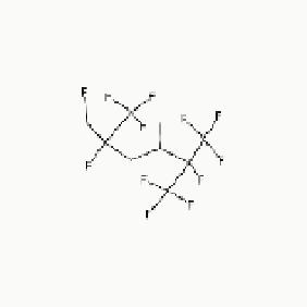 FCC(F)(CC(I)C(F)(C(F)(F)F)C(F)(F)F)C(F)(F)F